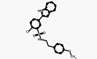 COc1ccc(CCNS(=O)(=O)c2cc(-c3cc4ccccc4[nH]3)ccc2Cl)cc1